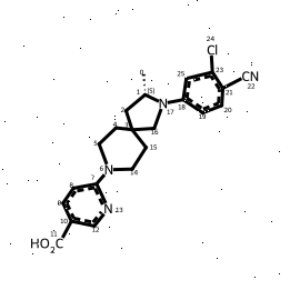 C[C@H]1CC2(CCN(c3ccc(C(=O)O)cn3)CC2)CN1c1ccc(C#N)c(Cl)c1